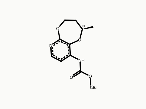 C[C@@H]1CCOc2nccc(NC(=O)OC(C)(C)C)c2O1